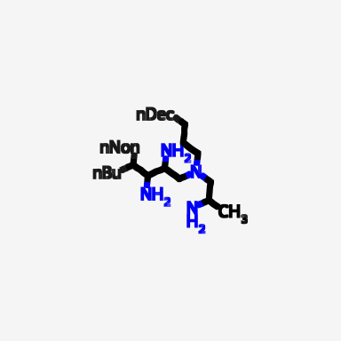 CCCCCCCCCCCCCN(CC(C)N)CC(N)C(N)C(CCCC)CCCCCCCCC